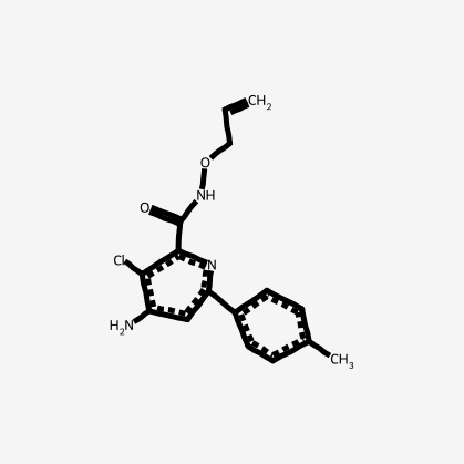 C=CCONC(=O)c1nc(-c2ccc(C)cc2)cc(N)c1Cl